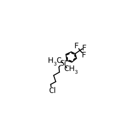 C[Si](C)(CCCCCCl)c1ccc(C(F)(F)F)cc1